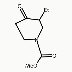 CCC1CN(C(=O)OC)CCC1=O